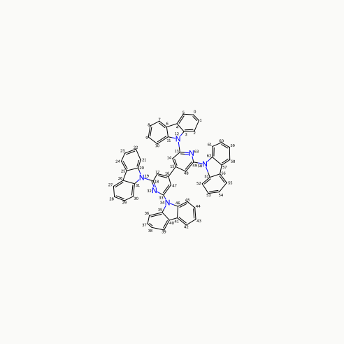 c1ccc2c(c1)c1ccccc1n2-c1cc(-c2cc(-n3c4ccccc4c4ccccc43)nc(-n3c4ccccc4c4ccccc43)c2)cc(-n2c3ccccc3c3ccccc32)n1